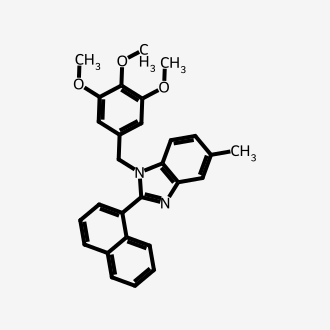 COc1cc(Cn2c(-c3cccc4ccccc34)nc3cc(C)ccc32)cc(OC)c1OC